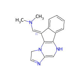 CN(C)/C=C1/C2=C(NC=C3N=CCN32)c2ccccc21